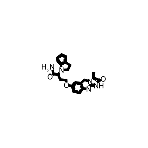 C=c1c(=O)[nH]c2n1Cc1cc(OCCC(C(N)=O)N3CCc4ccccc43)ccc1N=2